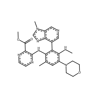 CNc1c(N2CCOCC2)cc(C)c(Nc2nccnc2C(=O)OC)c1-c1cncc2c1ncn2C